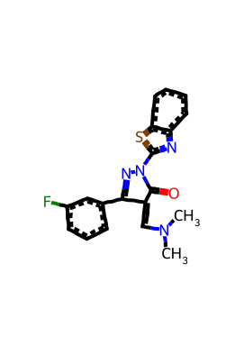 CN(C)C=C1C(=O)N(c2nc3ccccc3s2)N=C1c1cccc(F)c1